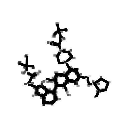 CN1CCC[C@H]1COc1nc(N2CCN(C(=O)OC(C)(C)C)CC2)c2cc(Cl)c(-c3cccc4sc(NC(=O)OC(C)(C)C)nc34)c(F)c2n1